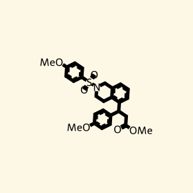 COC(=O)CC(c1ccc(OC)cc1)c1cccc2c1CCN(S(=O)(=O)c1ccc(OC)cc1)C2